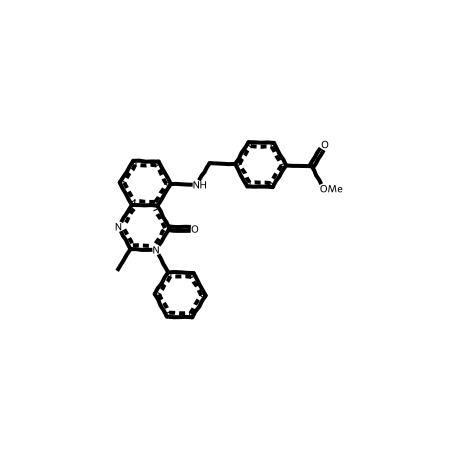 COC(=O)c1ccc(CNc2cccc3nc(C)n(-c4ccccc4)c(=O)c23)cc1